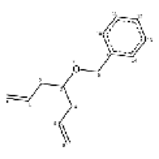 C=CCC(CC=C)OCc1ccccc1